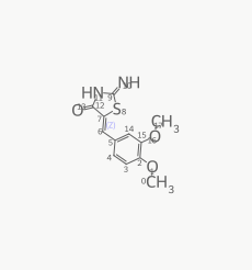 COc1ccc(/C=C2\SC(=N)NC2=O)cc1OC